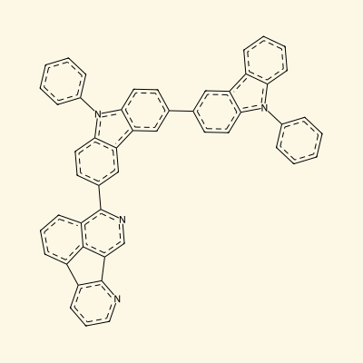 c1ccc(-n2c3ccccc3c3cc(-c4ccc5c(c4)c4cc(-c6ncc7c8c(cccc68)-c6cccnc6-7)ccc4n5-c4ccccc4)ccc32)cc1